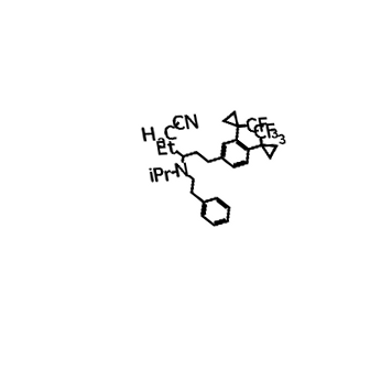 CC#N.CCC(CCc1ccc(C2(C(F)(F)F)CC2)c(C2(C(F)(F)F)CC2)c1)N(CCc1ccccc1)C(C)C